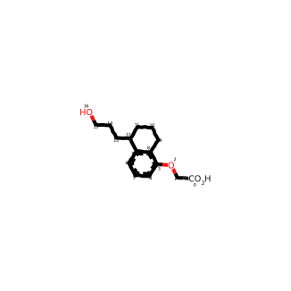 O=C(O)COc1cccc2c1CCCC2CCCO